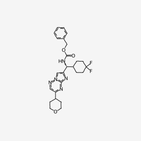 O=C(N[C@H](c1cn2ncc(C3CCOCC3)nc2n1)C1CCC(F)(F)CC1)OCc1ccccc1